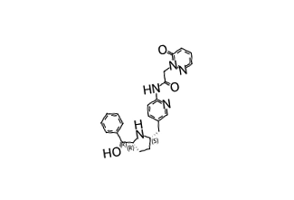 O=C(Cn1ncccc1=O)Nc1ccc(C[C@@H]2CC[C@H]([C@H](O)c3ccccc3)N2)cn1